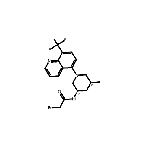 C[C@H]1C[C@@H](NC(=O)CBr)CN(c2ccc(C(F)(F)F)c3ncccc23)C1